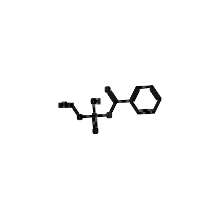 CCCCCCOP(=O)(O)OC(=O)c1ccccc1